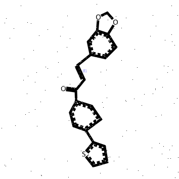 O=C(/C=C/c1ccc2c(c1)OCO2)c1ccc(-c2cccs2)cc1